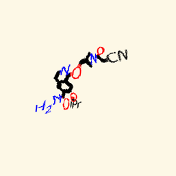 CC(C)Oc1cc2c(OCC3CN(C(=O)CC#N)C3)nccc2cc1C(N)=O